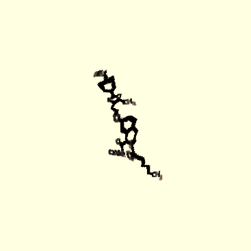 CC=CC=CC(=O)N1CCc2ccc(OCCc3nc(-c4ccc(C(C)(C)C)cc4)oc3C)cc2C1C(=O)OC